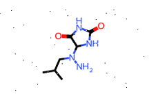 CC(C)CN(N)C1NC(=O)NC1=O